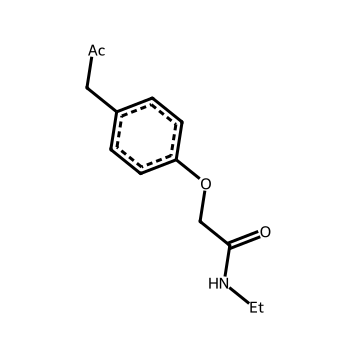 CCNC(=O)COc1ccc(CC(C)=O)cc1